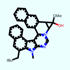 COC1(O)C2c3cc4ccccc4cc3-c3c4c5c6ccccc6cc(CC(C)(C)C)c5n(C)c4nc[n+]3C21